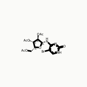 CC(=O)OC[C@H]1O[C@@H](Nc2nc(=O)[nH]cc2Br)[C@H](OC(C)=O)[C@H]1OC(C)=O